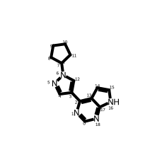 c1nc(-c2cnn([C]3CCCC3)c2)c2cc[nH]c2n1